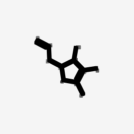 C=CCC1CC(C)=C(C)C1C